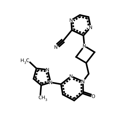 Cc1cc(C)n(-c2ccc(=O)n(CC3CN(c4nccnc4C#N)C3)n2)n1